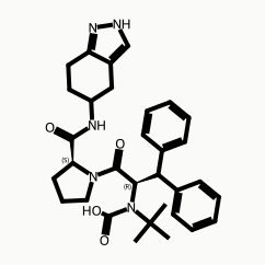 CC(C)(C)N(C(=O)O)[C@@H](C(=O)N1CCC[C@H]1C(=O)NC1CCc2n[nH]cc2C1)C(c1ccccc1)c1ccccc1